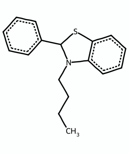 CCCCN1c2ccccc2SC1c1ccccc1